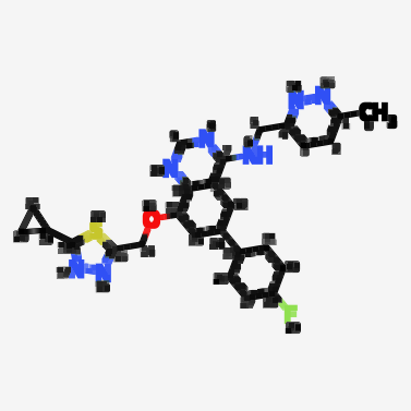 Cc1ccc(CNc2ncnc3c(OCc4nnc(C5CC5)s4)cc(-c4ccc(F)cc4)cc23)nn1